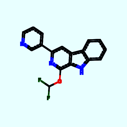 FC(F)Oc1nc(-c2cccnc2)cc2c1[nH]c1ccccc12